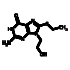 CCSc1nc2c(=O)[nH]c(N)nc2n1CCO